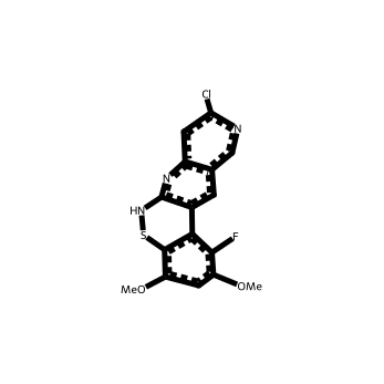 COc1cc(OC)c2c(c1F)-c1cc3cnc(Cl)cc3nc1NS2